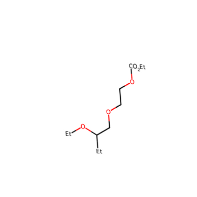 CCOC(=O)OCCOCC(CC)OCC